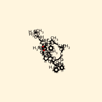 C=C1C(C)CC2CC[C@@H]3OC(CCC(=O)CC4OC5C(CC(C)(C)[Si](O)(c6ccccc6)c6ccccc6)[C@H]6OC(CCC6O[C@H]5C4CC(C)(C)[Si](O)(c4ccccc4)c4ccccc4)CC(=O)CC4[C@H](CC1O2)O[C@H](CC(O)CNC(=O)OC(C)(C)C)[C@@H]4OC)CC3=C